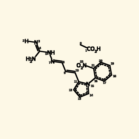 CC(=O)O.[H]/N=C(\N)NN=C/C=C/c1cccn1-c1ccccc1[N+](=O)[O-]